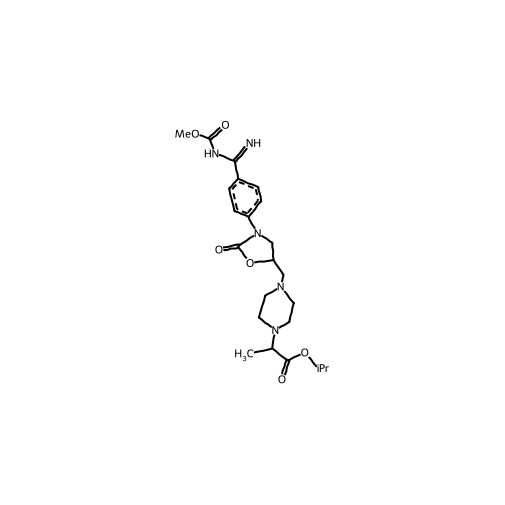 COC(=O)NC(=N)c1ccc(N2CC(CN3CCN(C(C)C(=O)OC(C)C)CC3)OC2=O)cc1